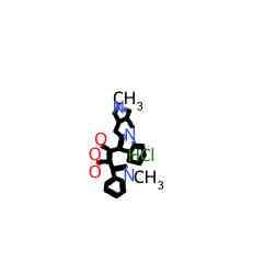 CN1CC2Cc3c(C4=C(c5cn(C)c6ccccc56)C(=O)OC4=O)c4ccccc4n3CC2C1.Cl